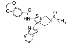 CC(=O)N1CCc2c(sc(NC(=O)c3ccc4c(c3)OCCO4)c2-c2nc3ccccc3s2)C1